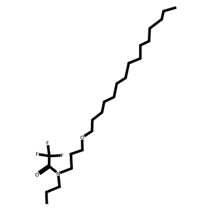 [CH2]CCN(CCCOCCCCCCCCCCCCCCC)C(=O)C(F)(F)F